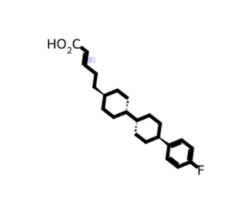 O=C(O)/C=C/CC[C@H]1CC[C@H]([C@H]2CC[C@H](c3ccc(F)cc3)CC2)CC1